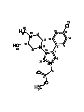 COC(=O)C[n+]1cc(-c2ccc(Cl)cc2)c(N2CCN(C)CC2)s1.[OH-]